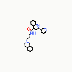 O=C(NCCCN1CCc2ccccc2C1)c1cc(-c2cccnc2)nc2ccccc12